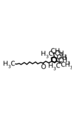 CCCCCCCCCCCC(=O)CCc1cc(C(C)(C)C)c(O)c(C(C)(C)C)c1